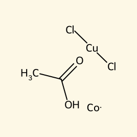 CC(=O)O.[Cl][Cu][Cl].[Co]